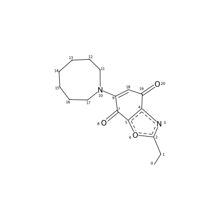 CCc1nc2c(o1)C(=O)C(N1CCCCCCC1)=CC2=O